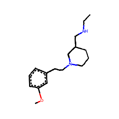 CCNCC1CCCN(CCc2cccc(OC)c2)C1